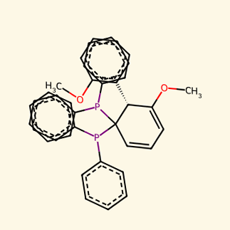 COC1=CC=CC(P(c2ccccc2)c2ccccc2)(P(c2ccccc2)c2ccccc2)[C@@H]1c1ccccc1OC